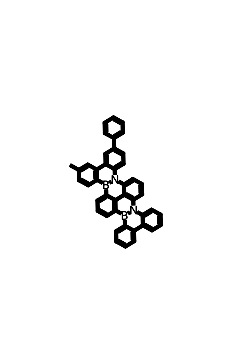 Cc1ccc2c(c1)-c1cc(-c3ccccc3)ccc1N1B2c2cccc3c2-c2c(cccc21)N1B3c2ccccc2-c2ccccc21